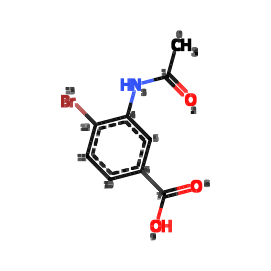 CC(=O)Nc1cc(C(=O)O)ccc1Br